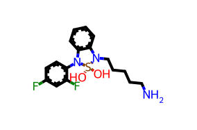 NCCCCCN1c2ccccc2N(c2ccc(F)cc2F)S1(O)O